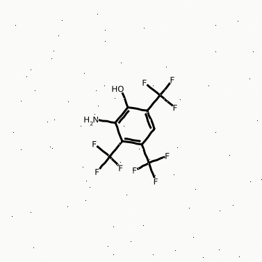 Nc1c(O)c(C(F)(F)F)cc(C(F)(F)F)c1C(F)(F)F